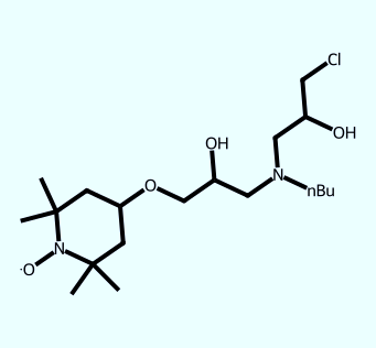 CCCCN(CC(O)CCl)CC(O)COC1CC(C)(C)N([O])C(C)(C)C1